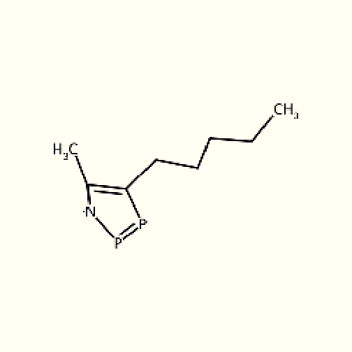 CCCCCC1=C(C)[N]P=P1